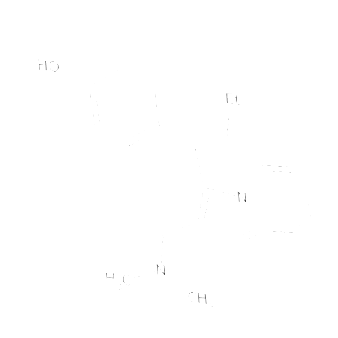 CCc1c(-c2ccc(O)cc2)c2c(CN(C)C)cc3cccc1n32